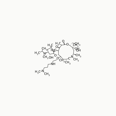 CC[C@H]1OC(=O)[C@H](C)C(=O)[C@H](C)[C@@H](O[C@@H]2O[C@H](C)C[C@H](N(C)C(C)C)[C@H]2O)[C@](C)(OCCNCCCN(C)C)C[C@@H](C)CN(C)[C@H](C)[C@@H](O)[C@]1(C)O